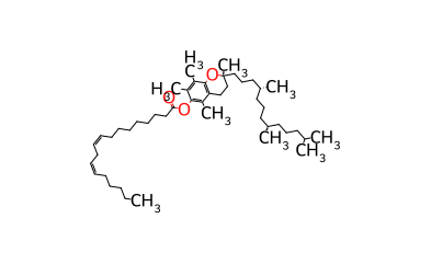 CCCCC/C=C\C/C=C\CCCCCCCC(=O)Oc1c(C)c(C)c2c(c1C)CC[C@@](C)(CCC[C@H](C)CCC[C@H](C)CCCC(C)C)O2